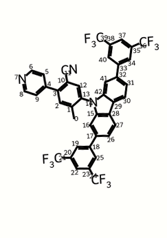 Cc1cc(-c2ccncc2)c(C#N)cc1-n1c2cc(-c3cc(C(F)(F)F)cc(C(F)(F)F)c3)ccc2c2ccc(-c3cc(C(F)(F)F)cc(C(F)(F)F)c3)cc21